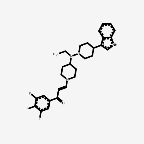 CCN(C1CCN(C=CC(=O)c2cc(F)c(F)c(F)c2)CC1)N1CCC(c2c[nH]c3ccccc23)CC1